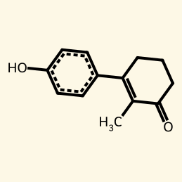 CC1=C(c2ccc(O)cc2)CCCC1=O